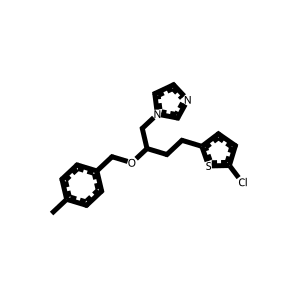 Cc1ccc(COC(CCc2ccc(Cl)s2)Cn2ccnc2)cc1